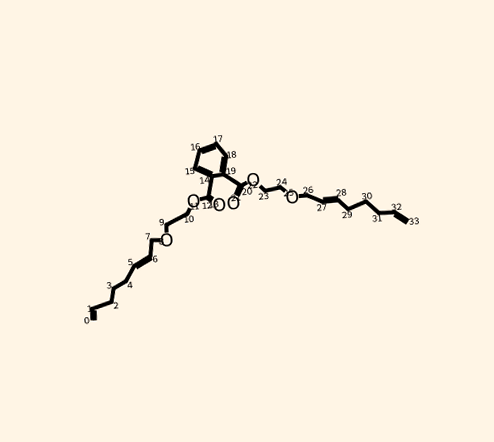 C=CCCCC=CCOCCOC(=O)c1ccccc1C(=O)OCCOCC=CCCCC=C